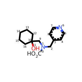 O=C(O)N(Cc1ccncc1)CC1(O)CCCCC1